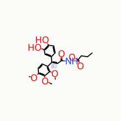 CCCC(=O)ONC(=O)/C=C(\c1ccc(O)c(O)c1)c1ccc(OC)c(OC)c1OC